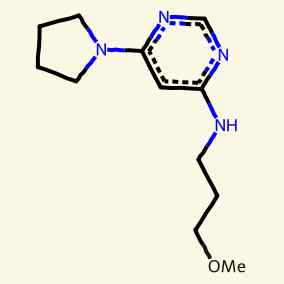 COCCCNc1cc(N2CCCC2)ncn1